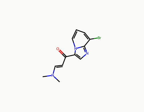 CN(C)/C=C/C(=O)c1cnc2c(Br)cccn12